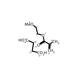 C=C(C)C(=O)OCCOC.O=C(O)CCC(=O)O